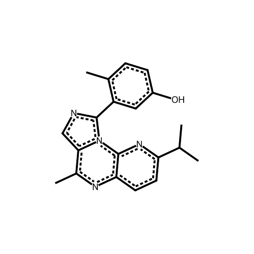 Cc1ccc(O)cc1-c1ncc2c(C)nc3ccc(C(C)C)nc3n12